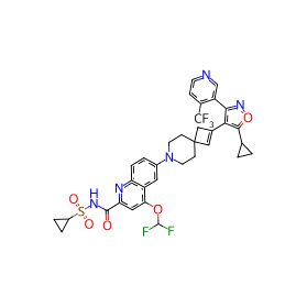 O=C(NS(=O)(=O)C1CC1)c1cc(OC(F)F)c2cc(N3CCC4(C=C(c5c(-c6cnccc6C(F)(F)F)noc5C5CC5)C4)CC3)ccc2n1